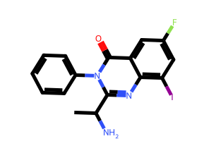 CC(N)c1nc2c(I)cc(F)cc2c(=O)n1-c1ccccc1